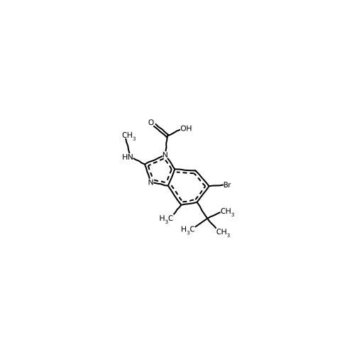 CNc1nc2c(C)c(C(C)(C)C)c(Br)cc2n1C(=O)O